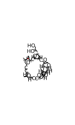 C=C1C[C@@H]2CC[C@@]34C[C@H]5O[C@H]6[C@@H](O3)[C@H]3OC(CC[C@@H]3O[C@H]6[C@H]5O4)CC(=O)C[C@@H]3[C@@H](C)[C@@H](C[C@H](O)CO)O[C@H]3C[C@H]3OC(CC[C@H]1O2)C[C@@H](C)C3=C